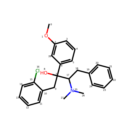 COc1cccc(C(O)(Cc2ccccc2Cl)C(Cc2ccccc2)N(C)C)c1